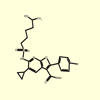 CNC(=O)c1c(-c2ccc(F)cc2)oc2nc(NS(=O)(=O)CCCCC(C)O)c(C3CC3)cc12